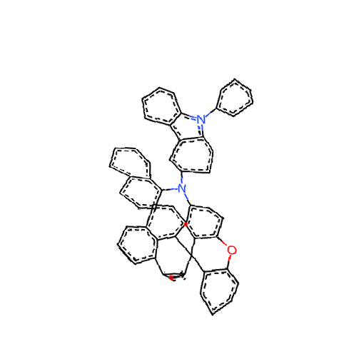 c1ccc(-n2c3ccccc3c3cc(N(c4ccc5c(c4)C4(c6ccccc6O5)c5ccccc5-c5cccc6cccc4c56)c4cccc5ccccc45)ccc32)cc1